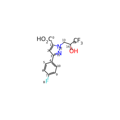 O=C(O)c1cc(-c2ccc(F)cc2)nn1CC(O)C(F)(F)F